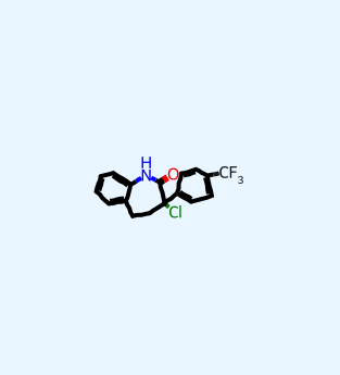 O=C1Nc2ccccc2CCC1(Cl)c1ccc(C(F)(F)F)cc1